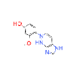 COc1cc(O)ccc1N1C=Cc2[nH]cnc2N1